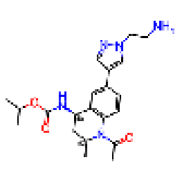 CC(=O)N1c2ccc(-c3cnn(CCN)c3)cc2[C@H](NC(=O)OC(C)C)C[C@@H]1C